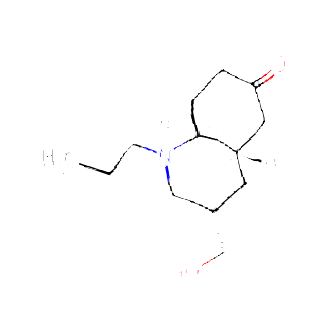 CCCN1C[C@@H](CO)C[C@H]2CC(=O)CC[C@@H]21